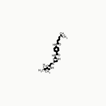 CN(C)C/C=C/C(=O)Nc1ccc(C(=O)NC2NCC(SCC3NCC(C(C)(C)C)O3)S2)cc1